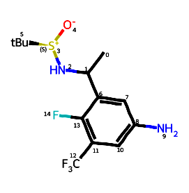 CC(N[S@+]([O-])C(C)(C)C)c1cc(N)cc(C(F)(F)F)c1F